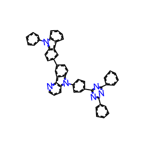 c1ccc(-c2nc(-c3ccccc3)nc(-c3ccc(-n4c5ccc(-c6ccc7c(c6)c6ccccc6n7-c6ccccc6)cc5c5ncccc54)cc3)n2)cc1